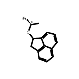 CC(C)[C@@H](C)OC1Cc2cccc3cccc1c23